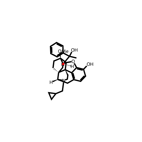 CO[C@]12CC[C@@]3(C[C@@H]1C(C)(O)c1ccccc1)[C@H]1Cc4ccc(O)c5c4[C@@]3(CCN1CC1CC1)[C@H]2O5